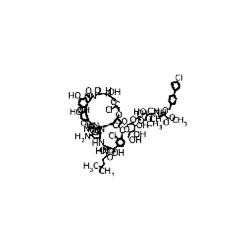 COC(=O)C(CNC(C)(C)C(O)C(C)OC(C)OC1C(Oc2c3cc4cc2Oc2ccc(cc2Cl)[C@@H](O)CC(=O)NC(C=O)c2cc(O)cc(O)c2-c2cc(ccc2O)[C@H](C(N)=O)NC(=O)C4NC(=O)C(CC(N)=O)NC(=O)[C@@H](NC(=O)CCC(C)C)C(O)c2ccc(c(Cl)c2)O3)OC(CO)C(O)C1O)OCc1ccc(-c2ccc(Cl)cc2)cc1